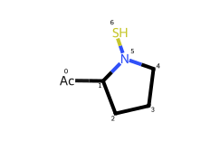 CC(=O)C1CCCN1S